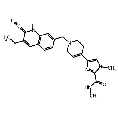 CCC1=Cc2ncc(CN3CC=C(c4cn(C)c(C(=O)NC)n4)CC3)cc2NC1=C=O